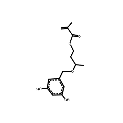 C=C(C)C(=O)OCCC(C)OCc1cc(O)cc(O)c1